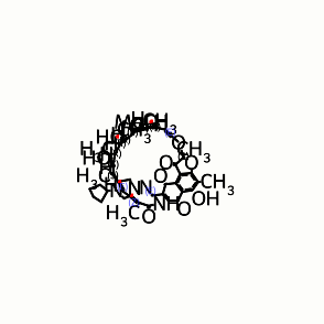 CO[C@H]1/C=C/O[C@@]2(C)Oc3c(C)c(O)c4c(c3C2=O)C(=O)C(/C=N/N2CCN(C3CCCC3)CC2)=C(NC(=O)/C(C)=C\C=C\[C@H](C)[C@H](O)[C@@H](C)[C@@H](O)[C@@H](C)[C@H](O)[C@@H]1C)C4=O